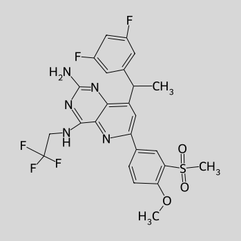 COc1ccc(-c2cc(C(C)c3cc(F)cc(F)c3)c3nc(N)nc(NCC(F)(F)F)c3n2)cc1S(C)(=O)=O